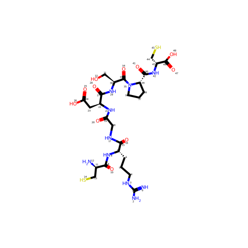 N=C(N)NCCC[C@H](NC(=O)[C@H](N)CS)C(=O)NCC(=O)N[C@@H](CC(=O)O)C(=O)N[C@@H](CO)C(=O)N1CCC[C@H]1C(=O)N[C@H](CS)C(=O)O